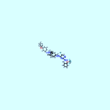 CC(C)(C)[Si](C)(C)O[C@H]1CC[C@H](CN[C@@H]2[C@@H]3CC4C[C@H]2C[C@@](CNc2nc(NCc5ccccc5OC(F)(F)F)ncc2F)(C4)C3)CC1